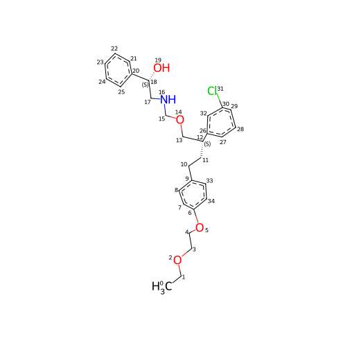 CCOCCOc1ccc(CC[C@H](COCNC[C@@H](O)c2ccccc2)c2cccc(Cl)c2)cc1